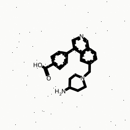 NC1CCN(Cc2ccc3cncc(-c4ccc(C(=O)O)cc4)c3c2)CC1